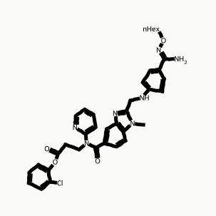 CCCCCCON=C(N)c1ccc(NCc2nc3cc(C(=O)N(CCC(=O)Oc4ccccc4Cl)c4ccccn4)ccc3n2C)cc1